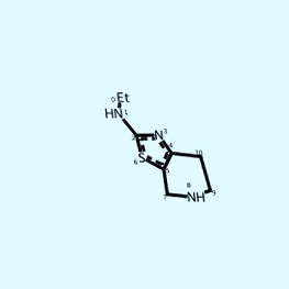 CCNc1nc2c(s1)CNCC2